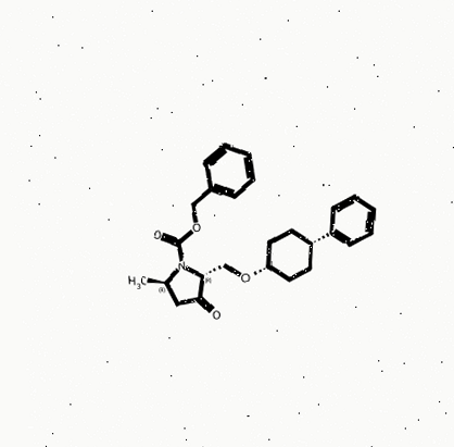 C[C@@H]1CC(=O)[C@@H](CO[C@H]2CC[C@@H](c3ccccc3)CC2)N1C(=O)OCc1ccccc1